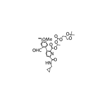 C=Cc1cc(C=O)c(-c2ccc(C(=O)NCC3CC3)nc2C(=O)OC(C)OC(=O)OCC2COC(C)(C)O2)cc1OC